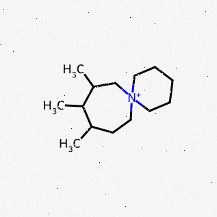 CC1CC[N+]2(CCCCC2)CC(C)C1C